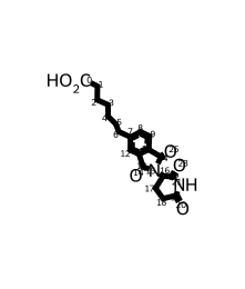 O=C(O)CCCCCCc1ccc2c(c1)C(=O)N(C1CCC(=O)NC1=O)C2=O